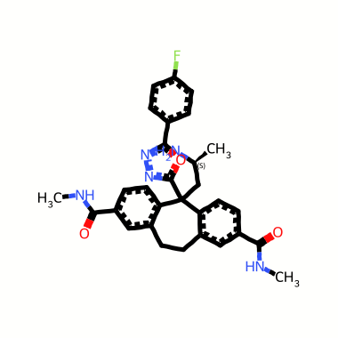 CNC(=O)c1ccc2c(c1)CCc1cc(C(=O)NC)ccc1C2(C[C@H](C)N)c1nnc(-c2ccc(F)cc2)o1